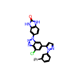 CC(C)c1cccc(-n2nccc2-c2cc(Cl)c3nnn(-c4ccc5[nH]c(=O)[nH]c5c4)c3c2)c1